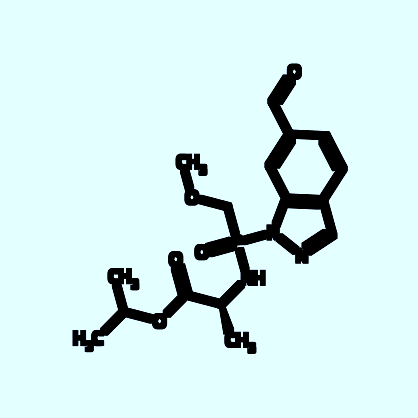 COCP(=O)(N[C@@H](C)C(=O)OC(C)C)n1ncc2ccc(C=O)cc21